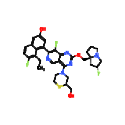 CCc1c(F)ccc2cc(O)cc(-c3ncc4c(N5CCSC(CO)C5)nc(OC[C@@]56CCCN5C[C@H](F)C6)nc4c3F)c12